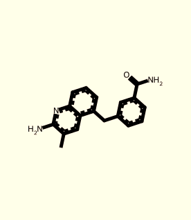 Cc1cc2c(Cc3cccc(C(N)=O)c3)cccc2nc1N